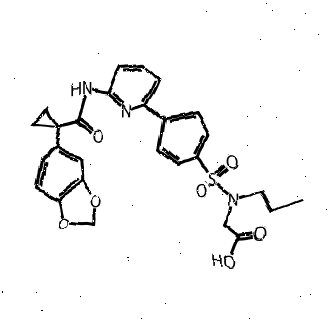 CCCN(CC(=O)O)S(=O)(=O)c1ccc(-c2cccc(NC(=O)C3(c4ccc5c(c4)OCO5)CC3)n2)cc1